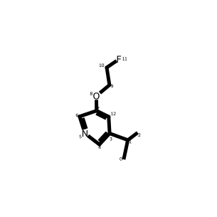 CC(C)c1cncc(OCCF)c1